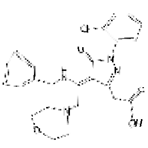 O=C(O)CC1=NN(c2ccccc2Cl)C(=O)C1=C(CN1CCOCC1)NCc1ccccc1